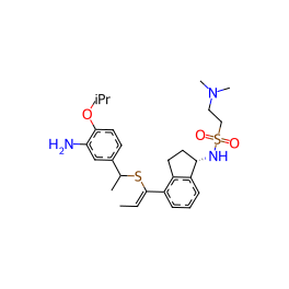 C/C=C(\SC(C)c1ccc(OC(C)C)c(N)c1)c1cccc2c1CC[C@@H]2NS(=O)(=O)CCN(C)C